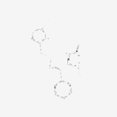 Cn1oc(=O)nc1C(=NOCc1csc(Br)n1)c1ccccc1